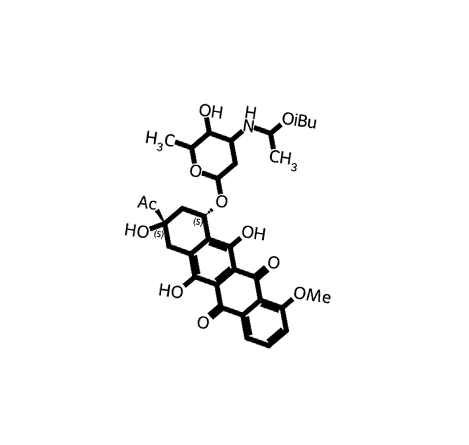 COc1cccc2c1C(=O)c1c(O)c3c(c(O)c1C2=O)C[C@@](O)(C(C)=O)C[C@@H]3OC1CC(NC(C)OCC(C)C)C(O)C(C)O1